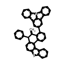 C=C1c2c(-c3cc4c5ccccc5n5c6ccccc6c(c3)c45)cccc2-c2c(ccc3sc4ccccc4c23)C1c1ccccc1